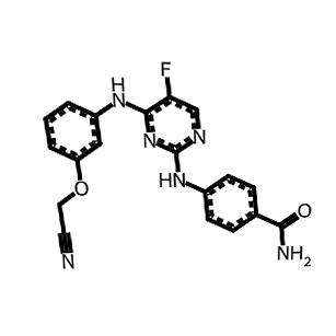 N#CCOc1cccc(Nc2nc(Nc3ccc(C(N)=O)cc3)ncc2F)c1